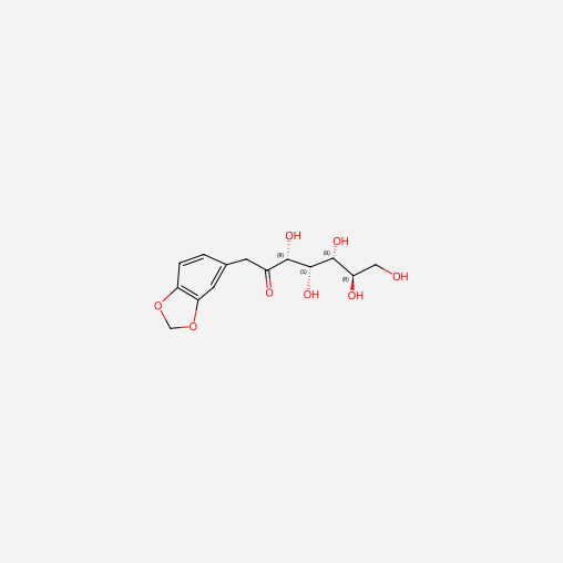 O=C(Cc1ccc2c(c1)OCO2)[C@H](O)[C@@H](O)[C@H](O)[C@H](O)CO